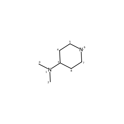 CN(C)C1CC[N]CC1